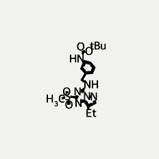 CCc1cnn2c(NCc3cccc(NC(=O)OC(C)(C)C)c3)nc(S(C)(=O)=O)nc12